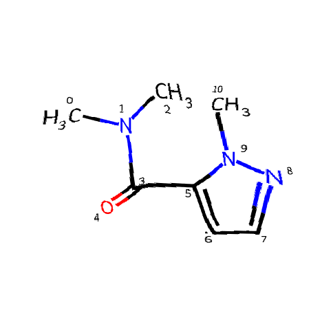 CN(C)C(=O)c1[c]cnn1C